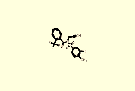 C#CCN(C(=O)c1ccccc1C(F)(F)F)S(=O)(=O)c1ccc(C)c(Cl)c1